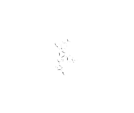 CC(=O)N1CCC(N=[N+]=[N-])(c2ccc(NC(=O)c3nc(C#N)c[nH]3)c(C3=CCC(C)(C)CC3)c2)CC1